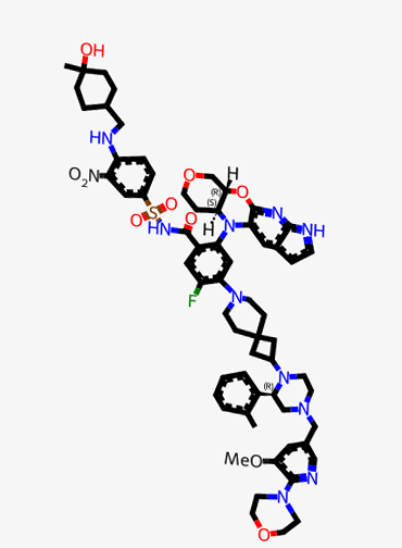 COc1cc(CN2CCN(C3CC4(CCN(c5cc(N6c7cc8cc[nH]c8nc7O[C@H]7COCC[C@@H]76)c(C(=O)NS(=O)(=O)c6ccc(NCC7CCC(C)(O)CC7)c([N+](=O)[O-])c6)cc5F)CC4)C3)[C@H](c3ccccc3C)C2)cnc1N1CCOCC1